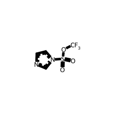 O=S(=O)(OC(F)(F)F)n1ccnc1